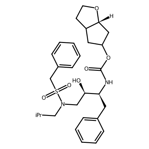 CC(C)CN(C[C@@H](O)[C@H](Cc1ccccc1)NC(=O)OC1CC2CCO[C@@H]2C1)S(=O)(=O)Cc1ccccc1